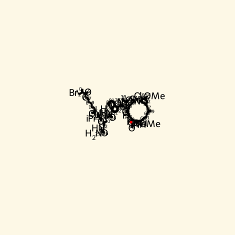 C=C(CBr)C(=O)OCCCCCC(=O)N[C@H](C(=O)N[C@@H](CCCNC(N)=O)C(=O)Nc1ccc(C(=O)N(C)[C@@H](C)C(=O)O[C@H]2CC(=O)N(C)c3cc(cc(OC)c3Cl)C/C(C)=C/C=C/[C@@H](OC)[C@@]3(O)C[C@H](OC(=O)N3)[C@@H](C)[C@@H]3O[C@@]23C)c2cccnc12)C(C)C